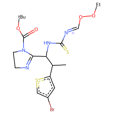 CCOO/C=N/C(=S)NC(C1=NCCN1C(=O)OC(C)(C)C)C(C)c1cc(Br)cs1